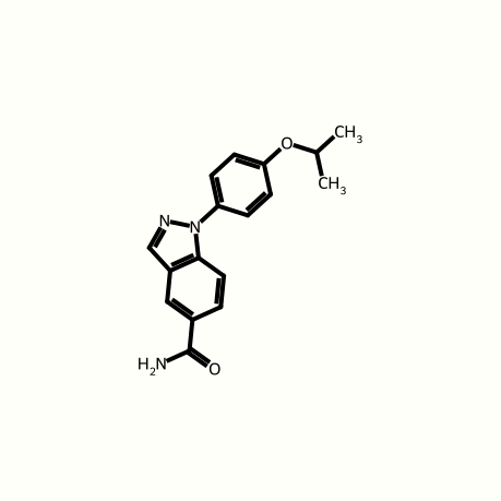 CC(C)Oc1ccc(-n2ncc3cc(C(N)=O)ccc32)cc1